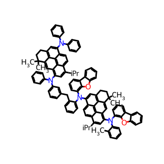 Cc1ccccc1N(c1cc(C(C)C)c2ccc3c(N(c4ccccc4Cc4cccc(N(c5ccccc5)c5cc(C(C)C)c6ccc7c(N(c8ccccc8)c8ccccc8)cc8c9c(cc5c6c79)C(C)(C)CC8)c4)c4cccc5c4oc4ccccc45)cc4c5c(cc1c2c35)C(C)(C)CC4)c1cccc2c1oc1ccccc12